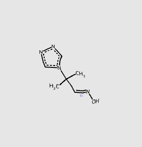 CC(C)(/C=N/O)n1cnnc1